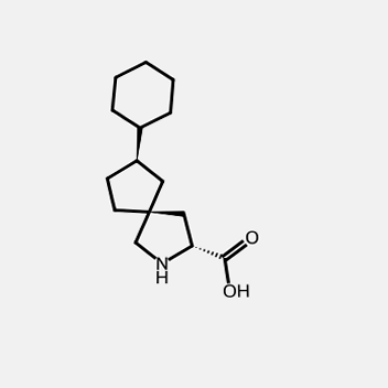 O=C(O)[C@H]1C[C@]2(CC[C@@H](C3CCCCC3)C2)CN1